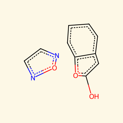 Oc1cc2ccccc2o1.c1cnon1